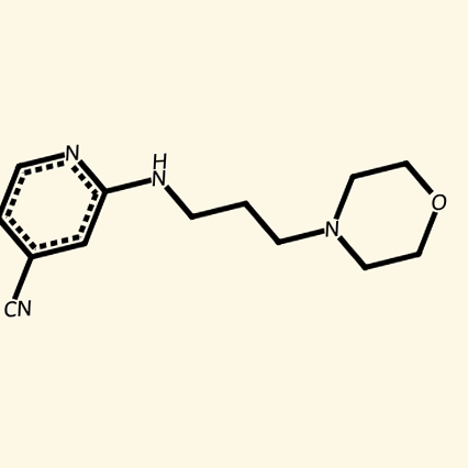 N#Cc1ccnc(NCCCN2CCOCC2)c1